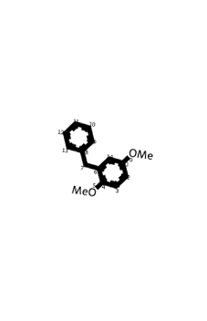 COc1c[c]c(OC)c(Cc2ccccc2)c1